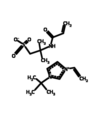 C=CC(=O)NC(C)(C)CS(=O)(=O)[O-].C=C[n+]1ccn(C(C)(C)C)c1